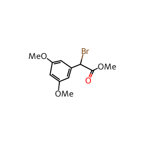 COC(=O)C(Br)c1cc(OC)cc(OC)c1